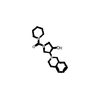 O=C(N1CCCCC1)N1CC(O)C(N2CCc3ccccc3C2)C1